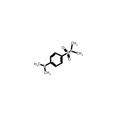 CN(C)c1ccc(S(=O)(=O)N(C)C)cc1